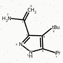 C=C(N)c1n[nH]c(C(C)C)c1C(C)(C)C